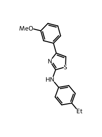 CCc1ccc(Nc2nc(-c3cccc(OC)c3)cs2)cc1